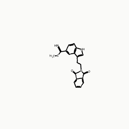 CSC(=N)c1ccc2[nH]cc(CCN3C(=O)c4ccccc4C3=O)c2c1